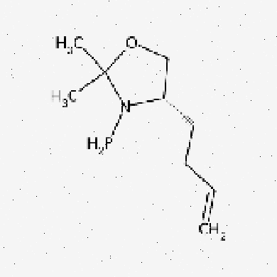 C=CCC[C@H]1COC(C)(C)N1P